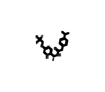 CC(C)c1ccc(CC(=O)N[C@H](C)C2=CN=C(OCC(F)(F)F)CN2)cc1